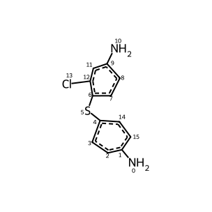 Nc1ccc(Sc2ccc(N)cc2Cl)cc1